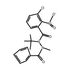 CN(C(=O)c1ccccc1)N(C(=O)c1cccc(Cl)c1[N+](=O)[O-])C(C)(C)C